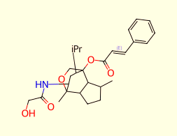 CC(C)C1CC(NC(=O)CO)C2(C)OCC1(OC(=O)/C=C/c1ccccc1)C1C(C)CCC12